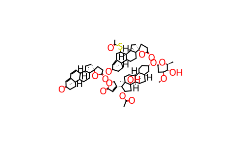 CC(=O)S[C@@H]1CC2=CC(=O)CC[C@]2(C)[C@H]2CC[C@@]3(C)[C@@H](CC[C@@]34CCC(=O)O4)[C@H]12.CO[C@H]1C[C@H](O[C@H]2CC[C@@]3(C)[C@H](CC[C@@H]4[C@@H]3CC[C@]3(C)[C@@H](C5=CC(=O)OC5)[C@@H](OC(C)=O)C[C@]43O)C2)O[C@@H](C)[C@@H]1O.C[C@]12CCC(=O)C=C1C=C[C@@H]1[C@@H]2CC[C@@]2(C)[C@H]1CC[C@@]21CCC(=O)O1